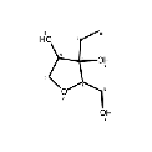 CCC1(O)C(O)COC1CO